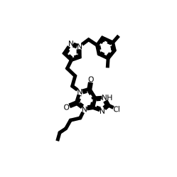 CCCCCn1c(=O)n(CCCc2cnn(Cc3cc(C)cc(C)c3)c2)c(=O)c2[nH]c(Cl)nc21